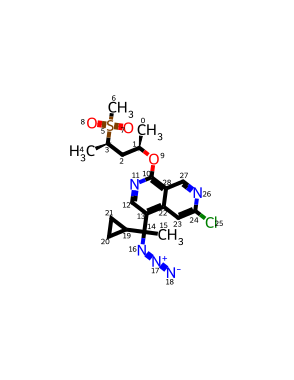 C[C@H](C[C@@H](C)S(C)(=O)=O)Oc1ncc(C(C)(N=[N+]=[N-])C2CC2)c2cc(Cl)ncc12